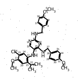 COc1ccc(CNc2ncc(Nc3cc(Cl)c(OC)cc3C(C)C)c(NCc3ccc(OC)cc3)n2)cc1